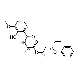 CC[C@@H](C[C@H](C)OC(=O)[C@H](C)NC(=O)c1nccc(OC)c1O)Oc1ccccc1